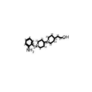 Nc1ccccc1SN1CCC(N2CCC(CCO)CC2)CC1